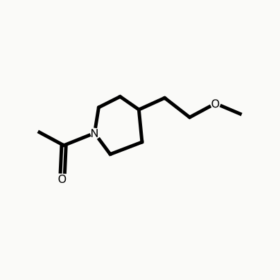 COCCC1CCN(C(C)=O)CC1